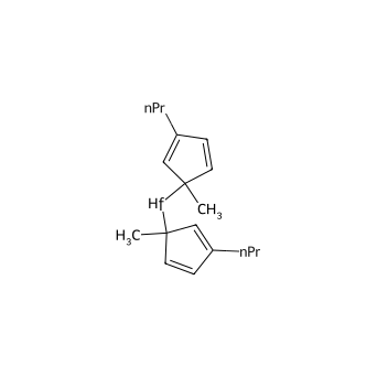 CCCC1=C[C](C)([Hf][C]2(C)C=CC(CCC)=C2)C=C1